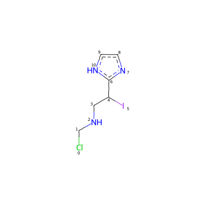 ClCNCC(I)c1ncc[nH]1